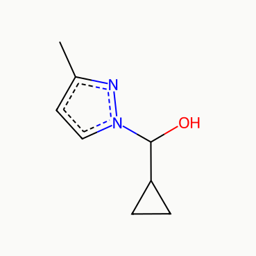 Cc1ccn(C(O)C2CC2)n1